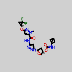 Cn1nc(O[C@@H]2CC2(F)F)cc1C(=O)Nc1cc([C@@H]2C[C@H](OC(=O)NC34CC(C3)C4)CO2)[nH]n1